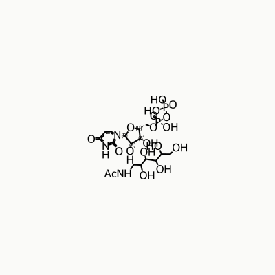 CC(=O)NCC(O)C(O)C(O)C(O)CO.O=c1ccn([C@@H]2O[C@H](COP(=O)(O)OP(=O)(O)O)[C@@H](O)[C@H]2O)c(=O)[nH]1